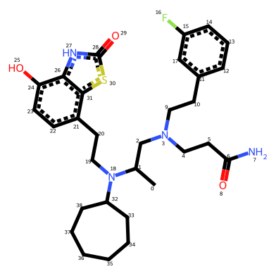 CC(CN(CCC(N)=O)CCc1cccc(F)c1)N(CCc1ccc(O)c2[nH]c(=O)sc12)C1CCCCCC1